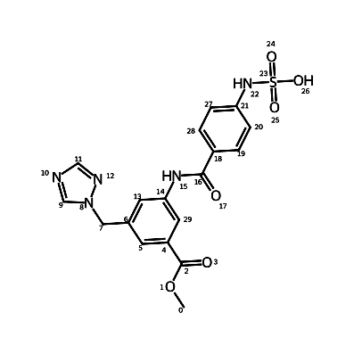 COC(=O)c1cc(Cn2cncn2)cc(NC(=O)c2ccc(NS(=O)(=O)O)cc2)c1